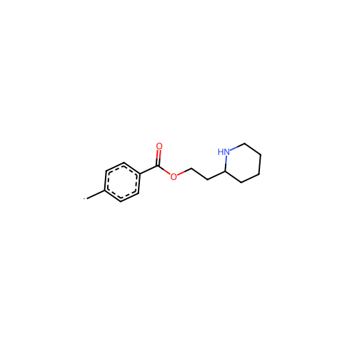 [CH2]c1ccc(C(=O)OCCC2CCCCN2)cc1